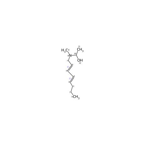 CCC/C=C/C=C/CN(C)C(C)O